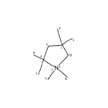 CC1(C)CC(C)(C)[N+](C)(C)C1